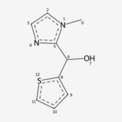 Cn1ccnc1C(O)c1cccs1